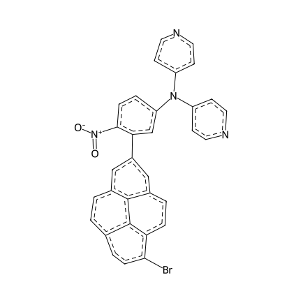 O=[N+]([O-])c1ccc(N(c2ccncc2)c2ccncc2)cc1-c1cc2ccc3ccc(Br)c4ccc(c1)c2c34